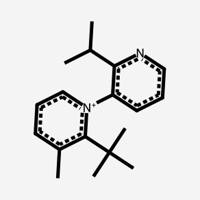 Cc1ccc[n+](-c2cccnc2C(C)C)c1C(C)(C)C